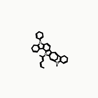 C/C=C\C=C(/C)n1c2c(c3ccc4c(c5c(n4C4=CCCC=C4)CCC=C5)c31)C=C1CC(=C2)N(C)C2=C1CCC=C2